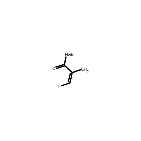 CNC(=O)/C(C)=C\F